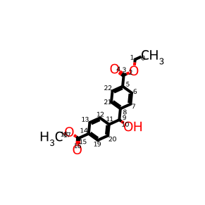 CCOC(=O)c1ccc(C(O)c2ccc(C(=O)OC)cc2)cc1